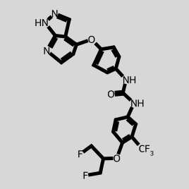 O=C(Nc1ccc(Oc2ccnc3[nH]ncc23)cc1)Nc1ccc(OC(CF)CF)c(C(F)(F)F)c1